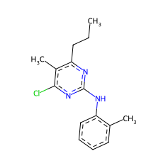 CCCc1nc(Nc2ccccc2C)nc(Cl)c1C